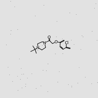 C=C(Cl)/C=C\C(=C)OCC(=O)N1CCN(C(C)(C)C)CC1